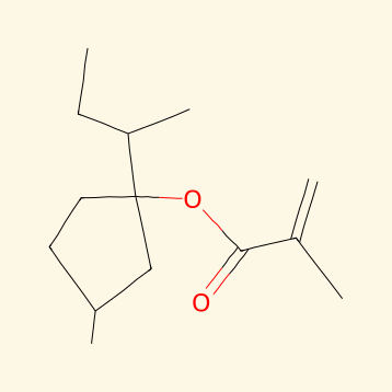 C=C(C)C(=O)OC1(C(C)CC)CCC(C)C1